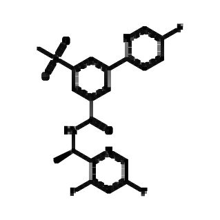 C[C@@H](NC(=O)c1cc(-c2ccc(F)cn2)cc(S(C)(=O)=O)c1)c1ncc(F)cc1F